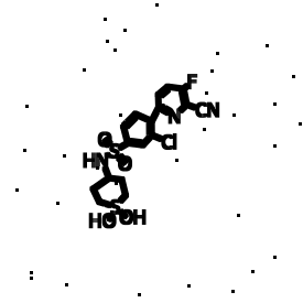 N#Cc1nc(-c2ccc(S(=O)(=O)NC3CCS(O)(O)CC3)cc2Cl)ccc1F